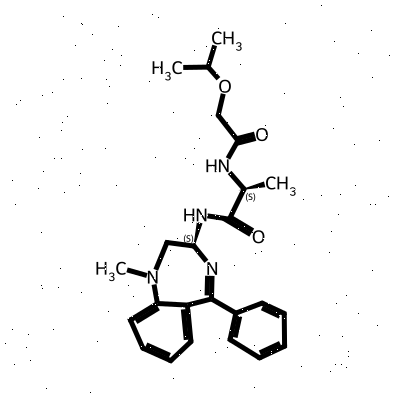 CC(C)OCC(=O)N[C@@H](C)C(=O)N[C@@H]1CN(C)c2ccccc2C(c2ccccc2)=N1